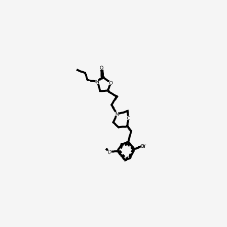 CCCN1CC(CCN2CCC(Cc3cc(OC)ccc3Br)CC2)OC1=O